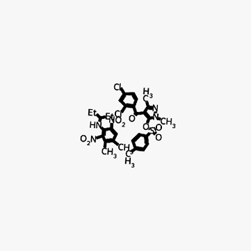 CCC(CC)Nc1c([N+](=O)[O-])cc(C)c(C)c1[N+](=O)[O-].Cc1ccc(S(=O)(=O)Oc2c(C(=O)c3ccc(Cl)cc3Cl)c(C)nn2C)cc1